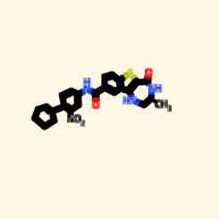 C[C@@H]1CNc2c(sc3ccc(C(=O)Nc4ccc(C5=CCCCC5)c([N+](=O)[O-])c4)cc23)C(=O)N1